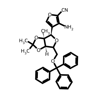 CC1(C)O[C@@H]2C(COC(c3ccccc3)(c3ccccc3)c3ccccc3)O[C@H](c3coc(C#N)c3N)[C@]2(C)O1